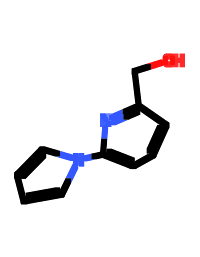 OCc1cccc(-n2cccc2)n1